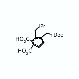 CCCCCCCCCCCc1ccc(C(=O)O)c(C(=O)O)c1CC(C)C